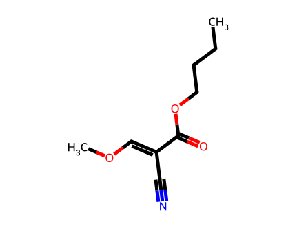 CCCCOC(=O)C(C#N)=COC